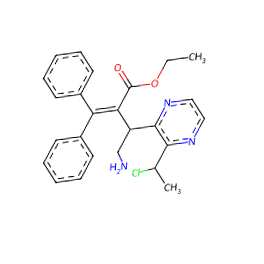 CCOC(=O)C(=C(c1ccccc1)c1ccccc1)C(CN)c1nccnc1C(C)Cl